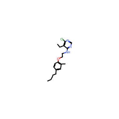 CCCCc1ccc(OCCNc2ncnc(Cl)c2CC)c(C)c1